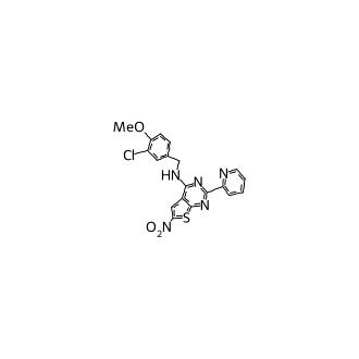 COc1ccc(CNc2nc(-c3ccccn3)nc3sc([N+](=O)[O-])cc23)cc1Cl